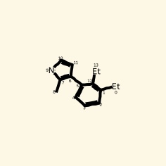 CCc1cccc(C2=C(C)[N]C=C2)c1CC